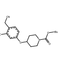 CC(C)(C)OC(=O)N1CCC(Oc2ccc(CC#N)c(C(F)(F)F)c2)CC1